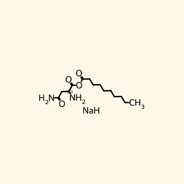 CCCCCCCCCC(=O)OC(=O)[C@@H](N)CC(N)=O.[NaH]